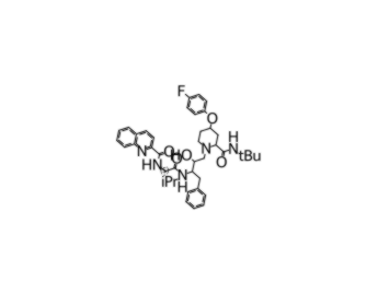 CC(C)[C@H](NC(=O)c1ccc2ccccc2n1)C(=O)NC(Cc1ccccc1)C(O)CN1CCC(Oc2ccc(F)cc2)CC1C(=O)NC(C)(C)C